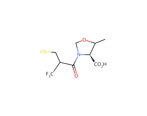 CC1OCN(C(=O)C(CS)C(F)(F)F)[C@@H]1C(=O)O